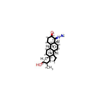 C[C@@H](CO)[C@H]1CC[C@@H]2[C@H]3CC[C@H]4C(=[N+]=[N-])C(=O)CC[C@]4(C)[C@@H]3CC[C@]21C